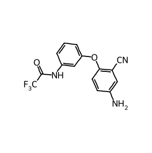 N#Cc1cc(N)ccc1Oc1cccc(NC(=O)C(F)(F)F)c1